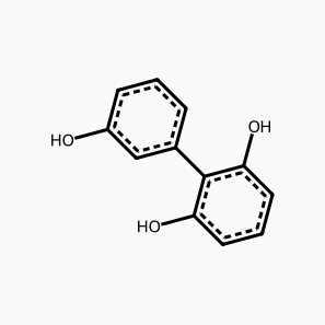 Oc1cccc(-c2c(O)cccc2O)c1